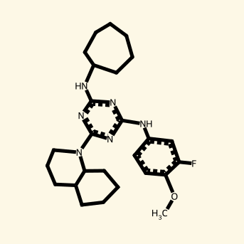 COc1ccc(Nc2nc(NC3CCCCCC3)nc(N3CCCC4CCCCC43)n2)cc1F